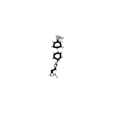 C=CCOC[C@H]1CC[C@H](C2CCC(CCCC)CC2)CC1